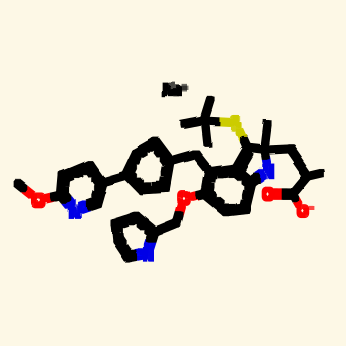 COc1ccc(-c2ccc(Cc3c(OCc4ccccn4)ccc4c3=C(SC(C)(C)C)C(C)(CC(C)C(=O)[O-])N=4)cc2)cn1.[Na+]